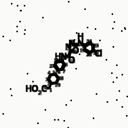 O=C(O)C[C@H]1CC[C@H](c2ccc(NC(=O)c3nnc(Nc4ccc(Cl)cc4)o3)cc2)CC1